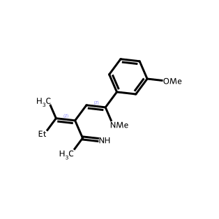 CC/C(C)=C(/C=C(\NC)c1cccc(OC)c1)C(C)=N